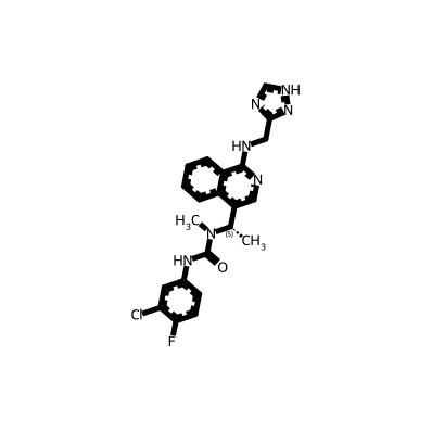 C[C@@H](c1cnc(NCc2nc[nH]n2)c2ccccc12)N(C)C(=O)Nc1ccc(F)c(Cl)c1